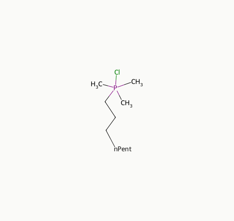 CCCCCCCCP(C)(C)(C)Cl